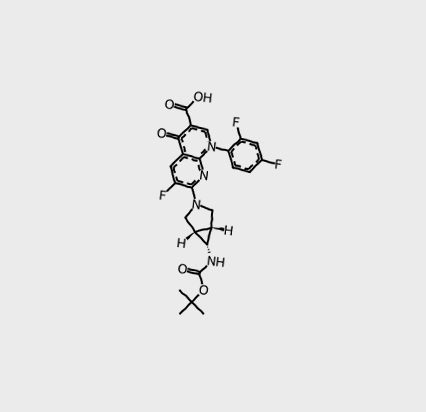 CC(C)(C)OC(=O)N[C@@H]1[C@@H]2CN(c3nc4c(cc3F)c(=O)c(C(=O)O)cn4-c3ccc(F)cc3F)C[C@@H]21